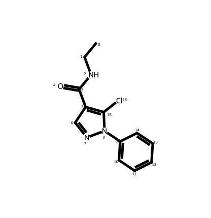 CCNC(=O)c1cnn(-c2ccccc2)c1Cl